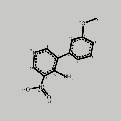 COc1cccc(-c2cncc([N+](=O)[O-])c2N)c1